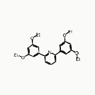 CCOc1cc(OCC)cc(-c2cccc(-c3cc(OCC)cc(OCC)c3)n2)c1